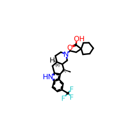 C[C@H]1c2c([nH]c3ccc(C(F)(F)F)cc23)C[C@H]2CCN(CCC3(C(=O)O)CCCCC3)CC21